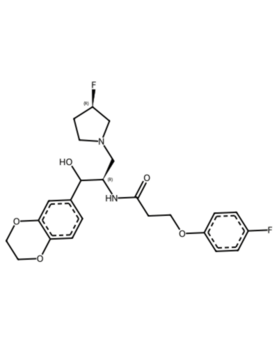 O=C(CCOc1ccc(F)cc1)N[C@H](CN1CC[C@@H](F)C1)C(O)c1ccc2c(c1)OCCO2